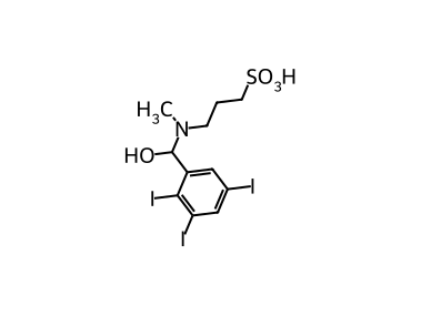 CN(CCCS(=O)(=O)O)C(O)c1cc(I)cc(I)c1I